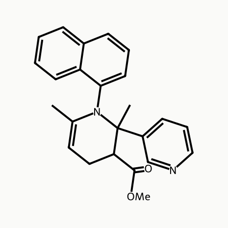 COC(=O)C1CC=C(C)N(c2cccc3ccccc23)C1(C)c1cccnc1